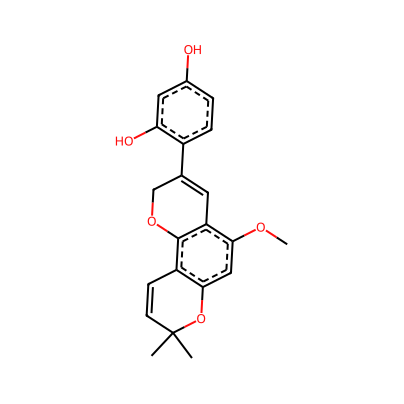 COc1cc2c(c3c1C=C(c1ccc(O)cc1O)CO3)C=CC(C)(C)O2